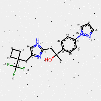 CC(O)(Cc1nc(CC2(C(F)(F)F)CCC2)c[nH]1)c1ccc(-n2cccn2)cc1